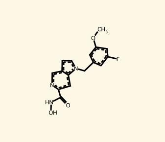 COc1cc(F)cc(Cn2ccc3cnc(C(=O)NO)cc32)c1